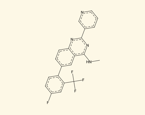 CNc1nc(-c2cccnc2)nc2ccc(-c3ccc(F)cc3C(F)(F)F)cc12